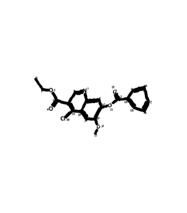 CCOC(=O)c1cnc2cc(OC(=O)c3ccccc3)c(OC)cc2c1Cl